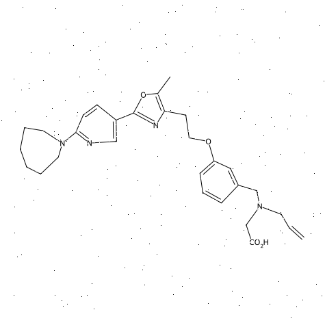 C=CCN(CC(=O)O)Cc1cccc(OCCc2nc(-c3ccc(N4CCCCCC4)nc3)oc2C)c1